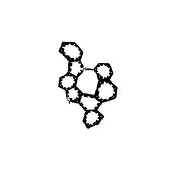 c1ccc(-n2c3ccccc3c3ccc4sc5c6ccccc6c6ccccc6c5c4c32)cc1